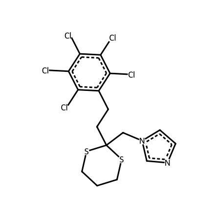 Clc1c(Cl)c(Cl)c(CCC2(Cn3ccnc3)SCCCS2)c(Cl)c1Cl